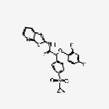 O=C(Nc1nc2cccnc2s1)C(Oc1ccc(F)cc1F)c1ccc(S(=O)(=O)C2CC2)cc1